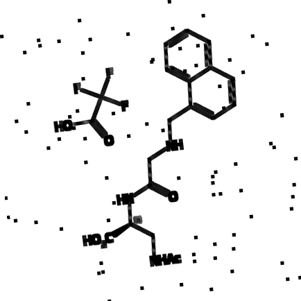 CC(=O)NC[C@H](NC(=O)CNCc1cccc2ccccc12)C(=O)O.O=C(O)C(F)(F)F